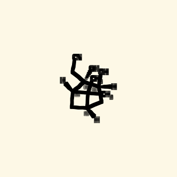 CC1(C)[C@@H]2C[C@@H](O)[C@](O)(CC#N)[C@H]1C2